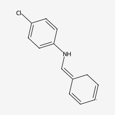 Clc1ccc(NC=C2C=C[C]=CC2)cc1